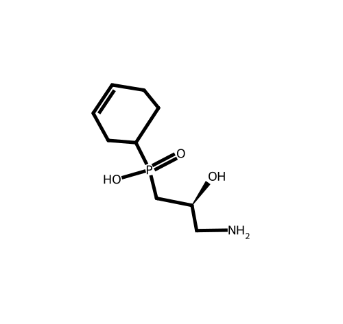 NC[C@H](O)CP(=O)(O)C1CC=CCC1